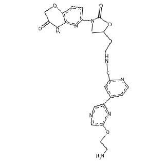 NCCOc1cncc(-c2ccnc(CNCCC3CN(c4ccc5c(n4)NC(=O)CO5)C(=O)O3)c2)n1